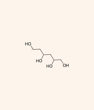 O[CH]CC(O)CC(O)CO